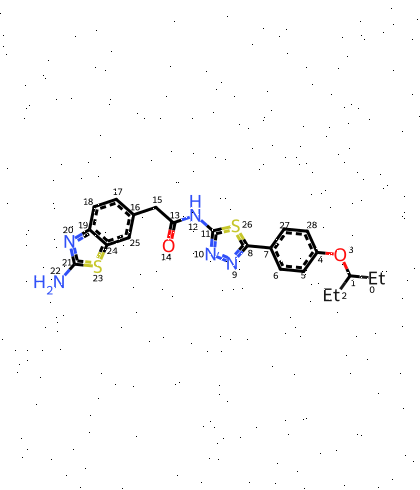 CCC(CC)Oc1ccc(-c2nnc(NC(=O)Cc3ccc4nc(N)sc4c3)s2)cc1